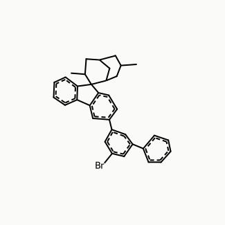 CC1CC2CC(C)C3(c4ccccc4-c4cc(-c5cc(Br)cc(-c6ccccc6)c5)ccc43)C(C1)C2